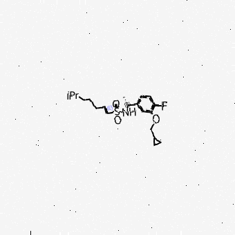 CC(C)CCC/C=C/S(=O)(=O)N[C@H](C)c1ccc(F)c(OCC2CC2)c1